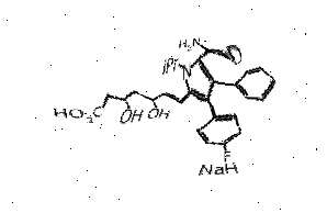 CC(C)n1c(/C=C/[C@@H](O)C[C@@H](O)CC(=O)O)c(-c2ccc(F)cc2)c(-c2ccccc2)c1C(N)=O.[NaH]